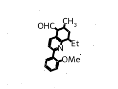 CCC1CC(C)C(C=O)c2ccc(-c3ccccc3OC)nc21